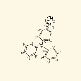 C=C.c1ccc(P(c2ccccc2)c2ccccc2)cc1